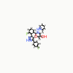 O=C(N[C@H](Cc1ccccn1)C1(O)CC1)c1cccc(F)c1-c1cc(-c2ccc(F)cc2)[nH]n1